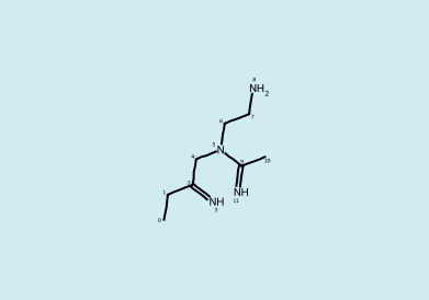 CCC(=N)CN(CCN)C(C)=N